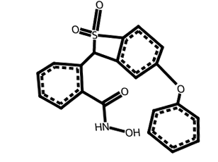 O=C(NO)c1ccccc1C1c2cc(Oc3ccccc3)ccc2S1(=O)=O